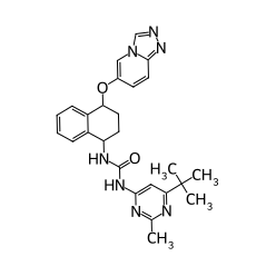 Cc1nc(NC(=O)NC2CCC(Oc3ccc4nncn4c3)c3ccccc32)cc(C(C)(C)C)n1